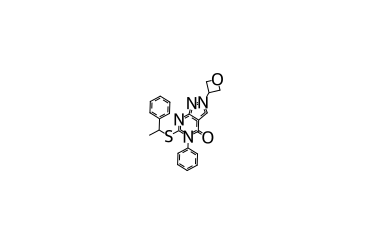 CC(Sc1nc2nn(C3COC3)cc2c(=O)n1-c1ccccc1)c1ccccc1